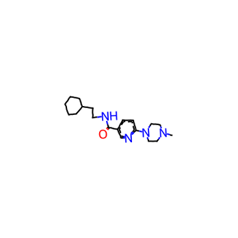 CN1CCN(c2ccc(C(=O)NCCC3CCCCC3)cn2)CC1